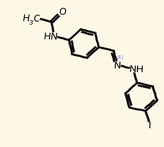 CC(=O)Nc1ccc(/C=N/Nc2ccc(I)cc2)cc1